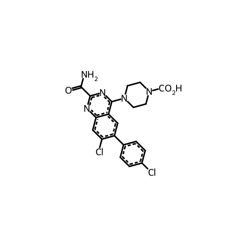 NC(=O)c1nc(N2CCN(C(=O)O)CC2)c2cc(-c3ccc(Cl)cc3)c(Cl)cc2n1